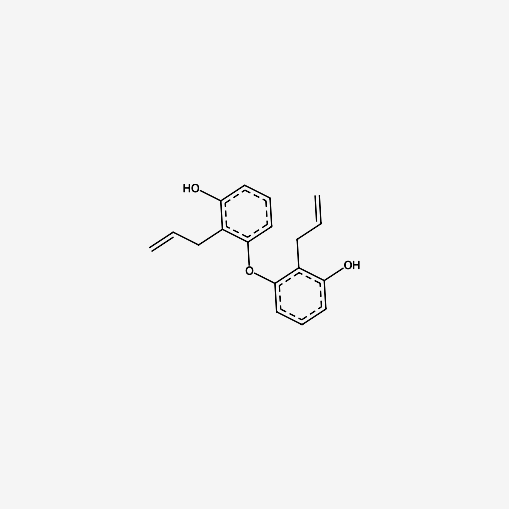 C=CCc1c(O)cccc1Oc1cccc(O)c1CC=C